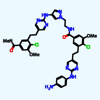 CNC(=O)c1cc(CCc2cnc(Nc3cnn(CCNC(=O)c4cc(CCc5cnc(Nc6ccc(N)cc6)nc5)c(Cl)c(OC)c4)c3)nc2)c(Cl)c(OC)c1